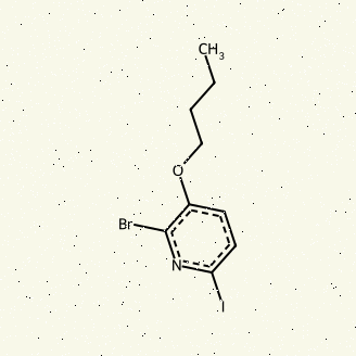 CCCCOc1ccc(I)nc1Br